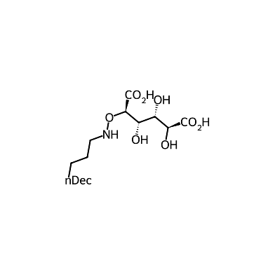 CCCCCCCCCCCCCNO[C@@H](C(=O)O)[C@@H](O)[C@H](O)[C@H](O)C(=O)O